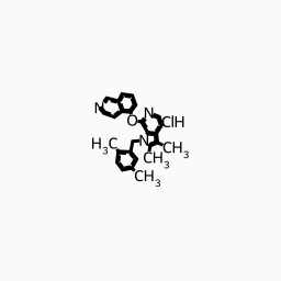 Cc1ccc(C)c(Cn2c(C)c(C)c3ccnc(Oc4cccc5cnccc45)c32)c1.Cl